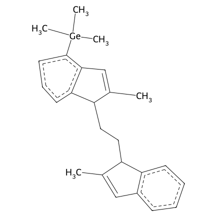 CC1=Cc2ccccc2C1CCC1C(C)=Cc2c1ccc[c]2[Ge]([CH3])([CH3])[CH3]